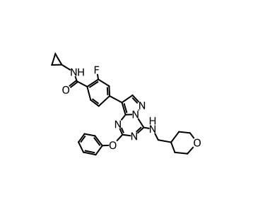 O=C(NC1CC1)c1ccc(-c2cnn3c(NCC4CCOCC4)nc(Oc4ccccc4)nc23)cc1F